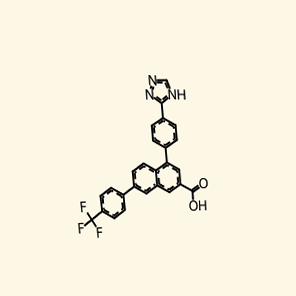 O=C(O)c1cc(-c2ccc(-c3nnc[nH]3)cc2)c2ccc(-c3ccc(C(F)(F)F)cc3)cc2c1